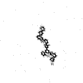 Cc1cc(C2C[C@@H](c3ncccc3C)N[C@@H](c3cn4c(N5CCNCC5)cccc4n3)C2)cnc1[C@@H]1CCC[C@H](c2cn3c(N4CCN(c5ccccn5)CC4)cccc3n2)N1